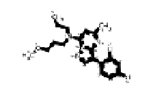 CCCN(CCCOC)c1cc(C)nc2c(-c3ccc(Cl)cc3Cl)cnn12